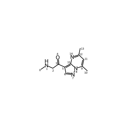 CNCC(=O)c1cnn2c(C)cc(C)nc12